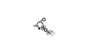 CN(C)c1ccc(S(=O)(=O)N2CCCN(CC3CCCCC3)CCCNCC3(CC3)C2)cc1